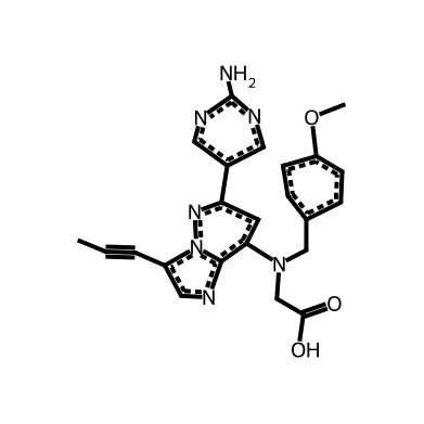 CC#Cc1cnc2c(N(CC(=O)O)Cc3ccc(OC)cc3)cc(-c3cnc(N)nc3)nn12